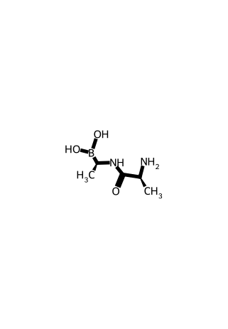 C[C@H](NC(=O)[C@H](C)N)B(O)O